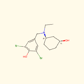 CCN(Cc1cc(Br)c(O)c(Br)c1)[C@@H]1CCC[C@H](O)C1